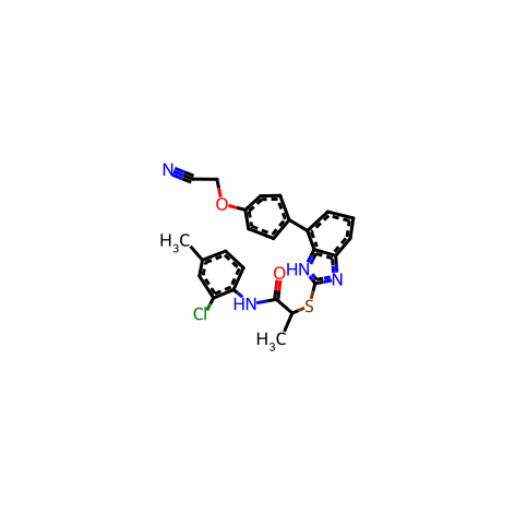 Cc1ccc(NC(=O)C(C)Sc2nc3cccc(-c4ccc(OCC#N)cc4)c3[nH]2)c(Cl)c1